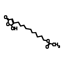 CC(=O)OCCCCCCCCCCC1=CC(=O)OC1O